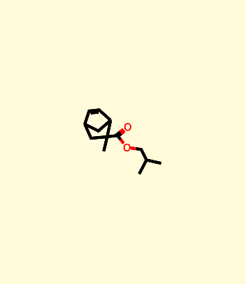 CC(C)COC(=O)C1(C)CC2C=CC1C2